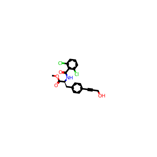 COC(=O)[C@H](Cc1ccc(C#CCO)cc1)NC(=O)c1c(Cl)cccc1Cl